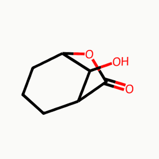 O=C1OC2CCCC1C2O